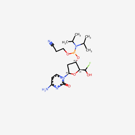 CC(C)N(C(C)C)P(OCCC#N)O[C@H]1C[C@H](n2ccc(N)nc2=O)O[C@@H]1C(O)F